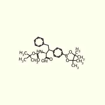 CC(C)(C)OC(=O)N[C@H](C(=O)O)C(Cc1ccccc1)c1ccc(B2OC(C)(C)C(C)(C)O2)cc1